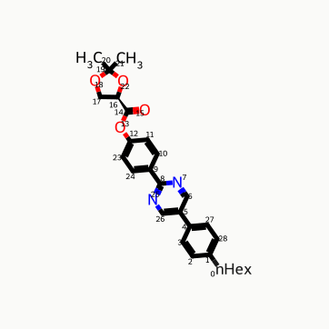 CCCCCCc1ccc(-c2cnc(-c3ccc(OC(=O)[C@H]4COC(C)(C)O4)cc3)nc2)cc1